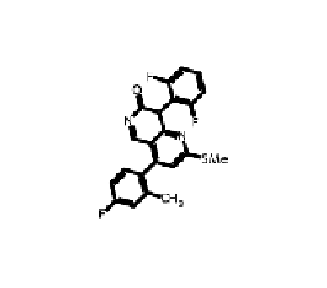 CSc1cc(-c2ccc(F)cc2C)c2c(n1)C(c1c(F)cccc1F)C(=O)N=C2